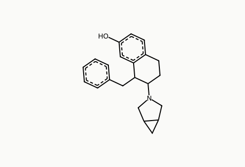 Oc1ccc2c(c1)C(Cc1ccccc1)C(N1CC3CC3C1)CC2